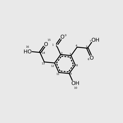 O=Ic1c(CC(=O)O)cc(O)cc1CC(=O)O